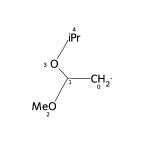 [CH2]C(OC)OC(C)C